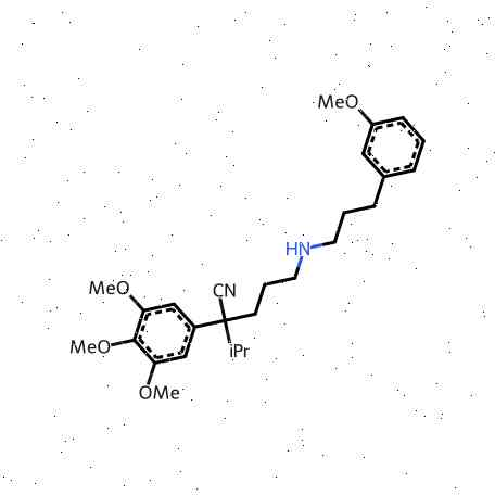 COc1cccc(CCCNCCCC(C#N)(c2cc(OC)c(OC)c(OC)c2)C(C)C)c1